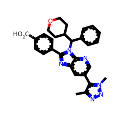 Cc1nnn(C)c1-c1cnc2c(c1)nc(-c1ccc(C(=O)O)cc1)n2C(c1ccccc1)C1CCOCC1